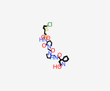 O=C(NC[C@H]1CCCN1C(=O)CN1CCC[C@H](NS(=O)(=O)/C=C/c2ccc(Cl)s2)C1=O)c1cc(O)nc2ccccc12